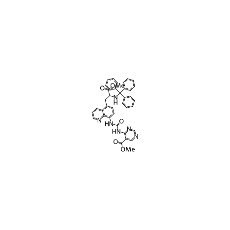 COC(=O)c1cncnc1NC(=O)Nc1ccc(CC(NC(c2ccccc2)(c2ccccc2)c2ccccc2)C(=O)OC)c2cccnc12